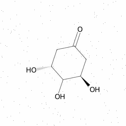 O=C1C[C@@H](O)C(O)[C@H](O)C1